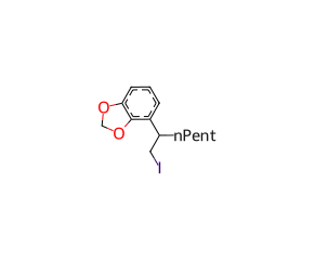 CCCCCC(CI)c1cccc2c1OCO2